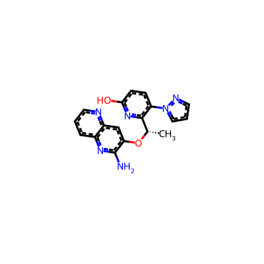 C[C@H](Oc1cc2ncccc2nc1N)c1nc(O)ccc1-n1cccn1